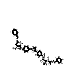 CC(C)[C@H](CC(=O)OCc1ccccc1)C(=O)Nc1ccc(-c2ncc(-c3ccc(NC(=O)[C@@H](NC(=O)OCc4ccccc4)C(C)C)cc3)o2)cc1